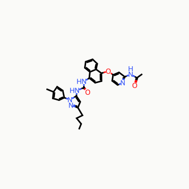 CCCCc1cc(NC(=O)Nc2ccc(Oc3ccnc(NC(C)=O)c3)c3ccccc23)n(-c2ccc(C)cc2)n1